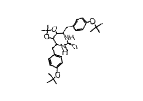 CC(C)(C)Oc1ccc(CC2NC(=O)NC(Cc3ccc(OC(C)(C)C)cc3)C3OC(C)(C)OC23)cc1